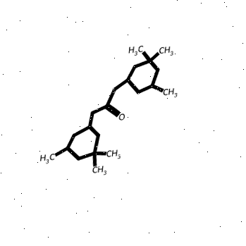 CC1CC(CC(=O)CC2CC(C)CC(C)(C)C2)CC(C)(C)C1